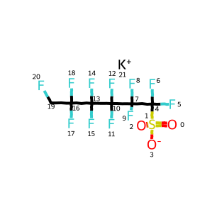 O=S(=O)([O-])C(F)(F)C(F)(F)C(F)(F)C(F)(F)C(F)(F)CF.[K+]